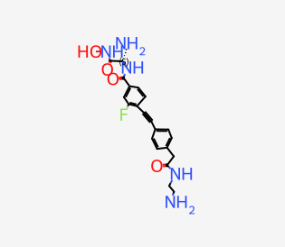 NCCNC(=O)Cc1ccc(C#Cc2ccc(C(=O)N[C@@H](CN)C(=O)NO)cc2F)cc1